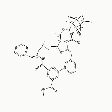 CNC(=O)c1cc(C(=O)N[C@@H](Cc2ccccc2)CN(C)C)cc(-c2cccc(CN3O[C@@H](C)[C@@H]([C@H](C)O)[C@H]3C(=O)N[C@H]3C[C@H]4C[C@@H]([C@@H]3C)C4(C)C)c2)c1